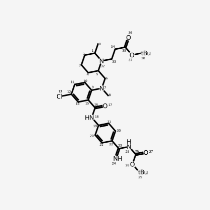 CC1CCCC(CN(C)c2ccc(Cl)cc2C(=O)Nc2ccc(C(=N)NC(=O)OC(C)(C)C)cc2)N1CCC(=O)OC(C)(C)C